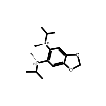 CC(C)[P@](C)c1cc2c(cc1[P@@](C)C(C)C)OCO2